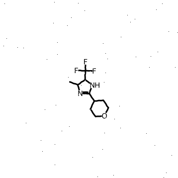 CC1N=C(C2CCOCC2)NC1C(F)(F)F